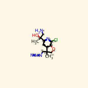 CC(O)(CN)c1cc2c(c(Cl)n1)OCC2(C)CN=[N+]=[N-]